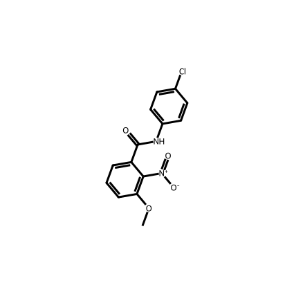 COc1cccc(C(=O)Nc2ccc(Cl)cc2)c1[N+](=O)[O-]